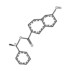 CC(=O)Oc1ccc2cc(C(=O)O[C@H](C)c3ccccc3)ccc2c1